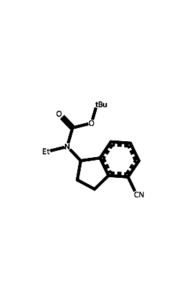 CCN(C(=O)OC(C)(C)C)C1CCc2c(C#N)cccc21